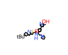 Cc1cc(-c2ccc(C(CCN3CCCCC3)NC(=O)c3cc4cc5c(nc4s3)CC[C@H](C(C)(C)C)C5)cc2)cnc1O